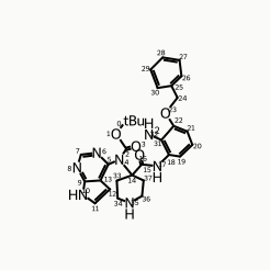 CC(C)(C)OC(=O)N(c1ncnc2[nH]ccc12)C1(C(=O)Nc2cccc(OCc3ccccc3)c2N)CCNCC1